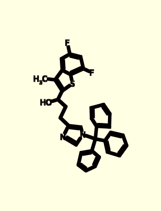 Cc1c(C(O)CCc2cn(C(c3ccccc3)(c3ccccc3)c3ccccc3)cn2)sc2c(F)cc(F)cc12